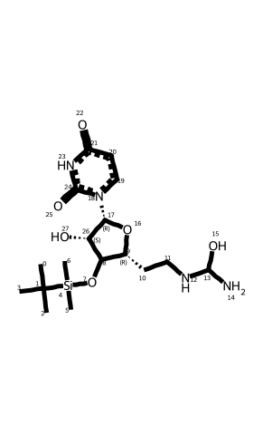 CC(C)(C)[Si](C)(C)OC1[C@@H](CCNC(N)O)O[C@@H](n2ccc(=O)[nH]c2=O)[C@H]1O